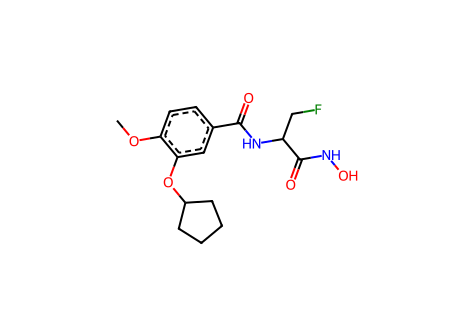 COc1ccc(C(=O)NC(CF)C(=O)NO)cc1OC1CCCC1